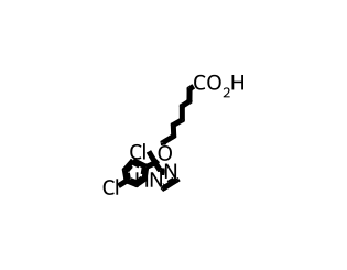 CC(OCCCCCCCC(=O)O)(c1ncc[nH]1)c1ccc(Cl)cc1Cl